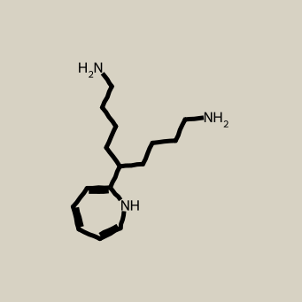 NCCCCC(CCCCN)C1=CC=CC=CN1